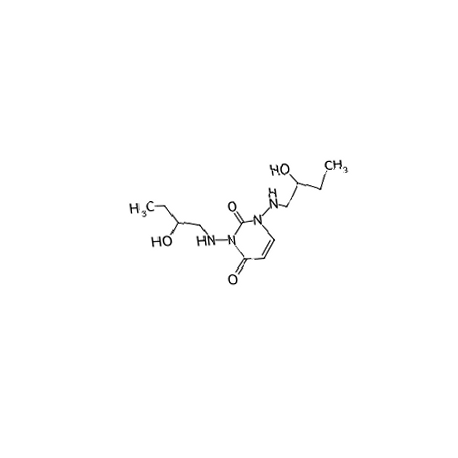 CCC(O)CNn1ccc(=O)n(NCC(O)CC)c1=O